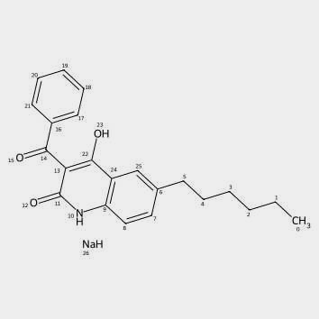 CCCCCCc1ccc2[nH]c(=O)c(C(=O)c3ccccc3)c(O)c2c1.[NaH]